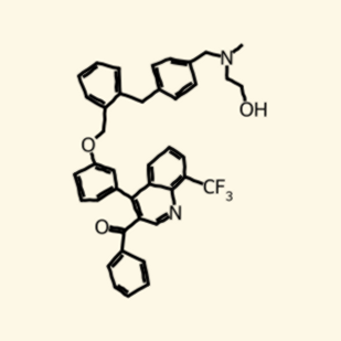 CN(CCO)Cc1ccc(Cc2ccccc2COc2cccc(-c3c(C(=O)c4ccccc4)cnc4c(C(F)(F)F)cccc34)c2)cc1